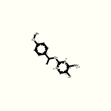 CC(C)Oc1ccc(C(C)Oc2ncc(F)c(N)n2)cc1